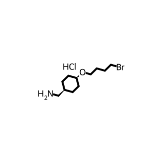 Cl.NC[C@H]1CC[C@H](OCCCCBr)CC1